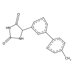 Cc1ccc(-c2cccc(C3NC(=O)NC3=O)c2)cc1